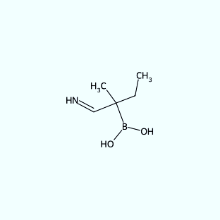 CCC(C)(C=N)B(O)O